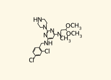 COC(CN(C)c1cc(NCc2ccc(Cl)cc2Cl)nc(N2CCNCC2)n1)OC